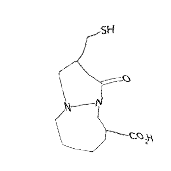 O=C(O)C1CCCN2CC(CS)C(=O)N12